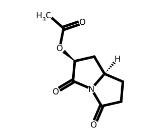 CC(=O)O[C@H]1C[C@H]2CCC(=O)N2C1=O